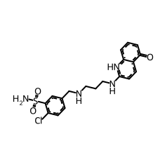 NS(=O)(=O)c1cc(CNCCCNc2ccc3c(=O)cccc-3[nH]2)ccc1Cl